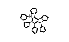 c1ccc(-c2c(-c3ccccc3)c3c(c4ccccc4n3-c3ccccc3)c3c4ccccc4n(-c4ccccc4)c23)cc1